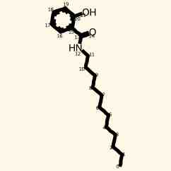 CCCCCCCCCCCCNC(=O)c1ccccc1O